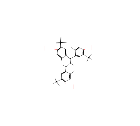 Cc1cc(O)c(C(C)(C)C)cc1C(C)C(C)C(c1cc(C(C)(C)C)c(O)cc1C)c1cc(C(C)(C)C)c(O)cc1C